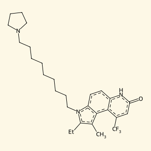 CCc1c(C)c2c3c(C(F)(F)F)cc(=O)[nH]c3ccc2n1CCCCCCCCCN1CCCC1